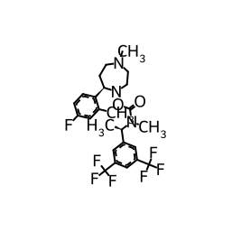 Cc1cc(F)ccc1[C@H]1CCN(C)CCN1OC(=O)N(C)[C@H](C)c1cc(C(F)(F)F)cc(C(F)(F)F)c1